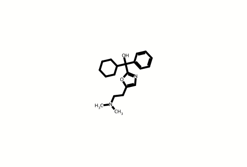 CN(C)CCc1cnc(C(O)(c2ccccc2)C2CCCCC2)o1